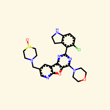 [O-][S+]1CCN(Cc2cnc3oc4c(N5CCOCC5)nc(-c5c(Cl)ccc6c5CCN6)nc4c3c2)CC1